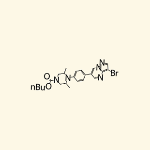 CCCCOC(=O)N1CC(C)N(c2ccc(-c3cnc4c(Br)cnn4c3)cc2)C(C)C1